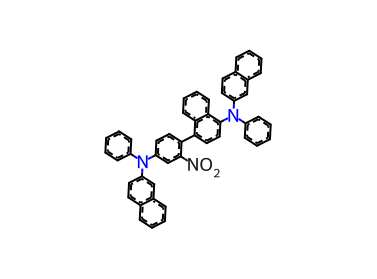 O=[N+]([O-])c1cc(N(c2ccccc2)c2ccc3ccccc3c2)ccc1-c1ccc(N(c2ccccc2)c2ccc3ccccc3c2)c2ccccc12